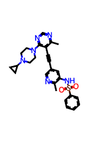 Cc1ncc(C#Cc2c(C)ncnc2N2CCN(C3CC3)CC2)cc1NS(=O)(=O)c1ccccc1